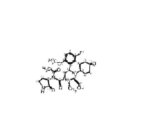 COc1ccc(F)cc1[C@H](CN(C(=O)N(C(C)=O)[C@H]1CCNC1=O)N(C)/C=C\O)OC1CCC(=O)CC1